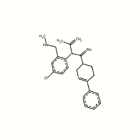 C=C(C)N(C(=N)C1CC=C(c2ccccc2)CC1)c1ccc(Cl)cc1CNC